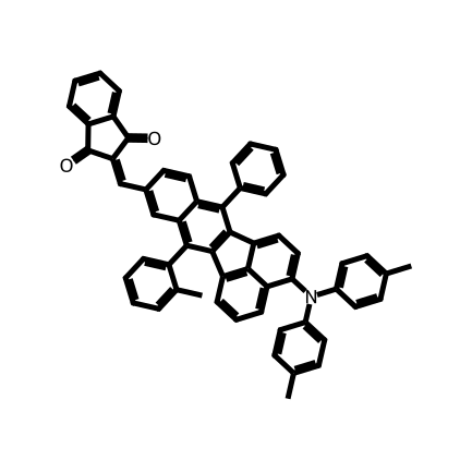 Cc1ccc(N(c2ccc(C)cc2)c2ccc3c4c(cccc24)-c2c-3c(-c3ccccc3)c3ccc(C=C4C(=O)c5ccccc5C4=O)cc3c2-c2ccccc2C)cc1